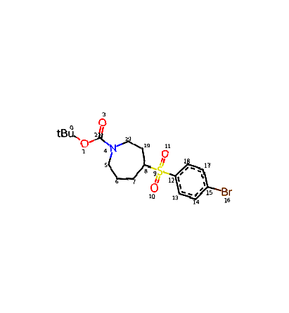 CC(C)(C)OC(=O)N1CCCC(S(=O)(=O)c2ccc(Br)cc2)CC1